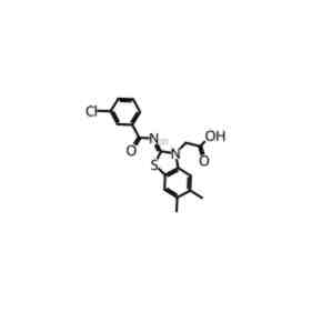 Cc1cc2s/c(=N\C(=O)c3cccc(Cl)c3)n(CC(=O)O)c2cc1C